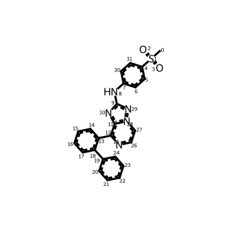 CS(=O)(=O)c1ccc(Nc2nc3c(-c4ccccc4-c4ccccc4)nccn3n2)cc1